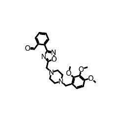 COc1ccc(CN2CCN(Cc3nc(-c4ccccc4C=O)no3)CC2)c(OC)c1OC